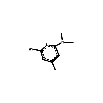 Cc1[c]c(C(C)C)nc(N(C)C)c1